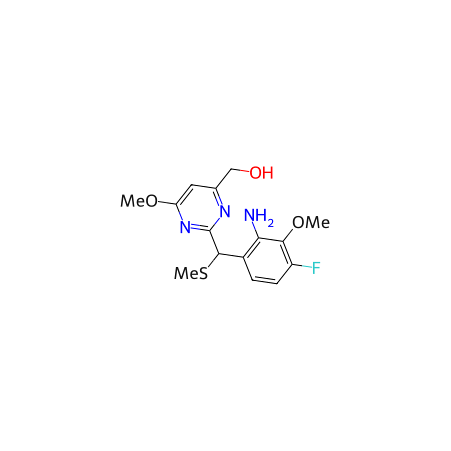 COc1cc(CO)nc(C(SC)c2ccc(F)c(OC)c2N)n1